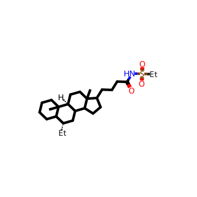 CC[C@H]1CC2C3CCC(CCCC(=O)NS(=O)(=O)CC)C3(C)CC[C@@H]2C2(C)CCCCC12